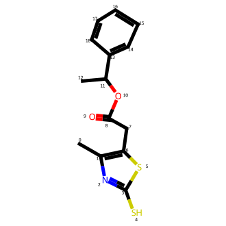 Cc1nc(S)sc1CC(=O)OC(C)c1ccccc1